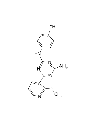 COc1ncccc1-c1nc(N)nc(Nc2ccc(C)cc2)n1